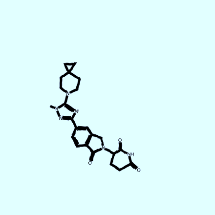 Cn1nc(-c2ccc3c(c2)CN(C2CCC(=O)NC2=O)C3=O)nc1N1CCC2(CC1)CC2